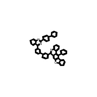 c1ccc(-c2ccc(-c3nc(-c4cccc(-c5cccc(-c6nc7ccccc7c7c(-c8ccccc8)c8c(cc67)oc6ccccc68)c5)c4)c4ccccc4n3)cc2)cc1